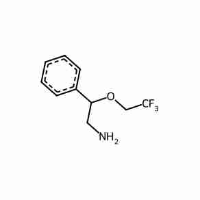 NCC(OCC(F)(F)F)c1ccccc1